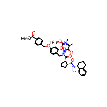 COC(=O)c1ccc(COc2ccc(CN(NC(=O)[C@H](C)N(C)C(=O)OC(C)(C)C)C(=O)[C@@H]3CCC[C@H]3C(=O)N[C@@H]3CCCc4ccccc43)cc2)cc1